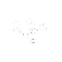 CC(C)C[C@H](O)[C@H](O)[C@H](CC1CCCCC1)NC(=O)[C@@H](CC(=O)N(C)CC1(O)CCCCC1)Cc1cscn1